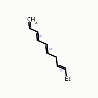 C=C/C=C/C=C/C/C=C/CC